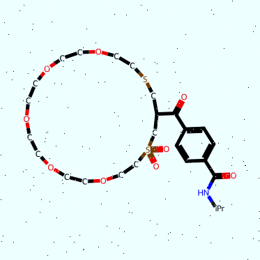 CC(C)NC(=O)c1ccc(C(=O)C2CSCCOCCOCCOCCOCCOCCS(=O)(=O)C2)cc1